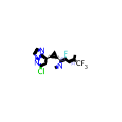 C=N/C(=C(F)\C=C(/C)C(F)(F)F)[C@H]1C[C@@H]1c1cc(Cl)nn2ccnc12